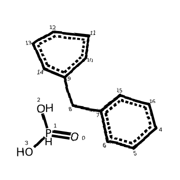 O=[PH](O)O.c1ccc(Cc2ccccc2)cc1